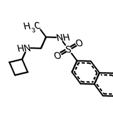 CC(CNC1CCC1)NS(=O)(=O)c1ccc2cnccc2c1